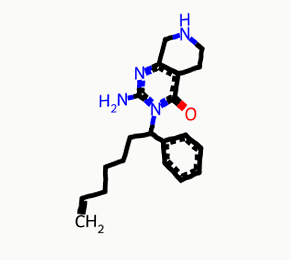 C=CCCCCC(c1ccccc1)n1c(N)nc2c(c1=O)CCNC2